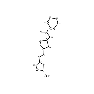 CC(C)[C@H]1CC(CC[C@@H]2COC(CC(C)[C@H]3CCCCO3)C2)CO1